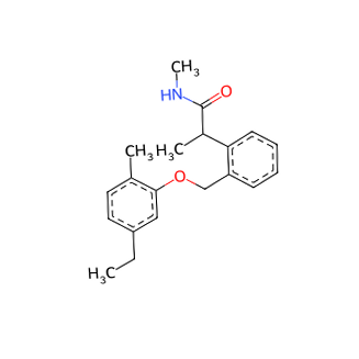 CCc1ccc(C)c(OCc2ccccc2C(C)C(=O)NC)c1